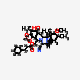 COc1c(C)cc2c(c1C)[C@@H]1C3Cc4c(O)c(C)c5c(c4[C@H](COC(=O)CCc4ccccc4)N3[C@@H](C#N)[C@H](C2)N1C)OCO5